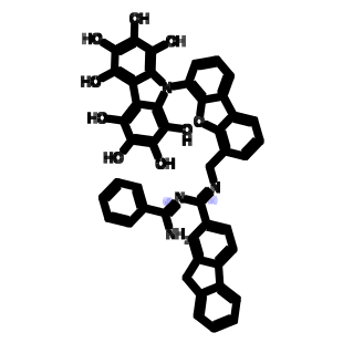 N/C(=N\C(=N/Cc1cccc2c1oc1c(-n3c4c(O)c(O)c(O)c(O)c4c4c(O)c(O)c(O)c(O)c43)cccc12)c1ccc2c(c1)Cc1ccccc1-2)c1ccccc1